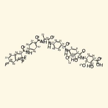 COc1c(NC(=O)c2ccc(NC(=O)c3ccc(NC(=O)[C@H](C)NC(=O)c4ccc(NC(=O)/C(=C/c5ccc(F)cc5)C(F)(F)F)cc4)cc3)c(OC)c2O)ccc(C(=O)O)c1O